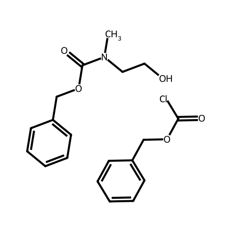 CN(CCO)C(=O)OCc1ccccc1.O=C(Cl)OCc1ccccc1